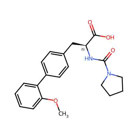 COc1ccccc1-c1ccc(C[C@H](NC(=O)N2CCCC2)C(=O)O)cc1